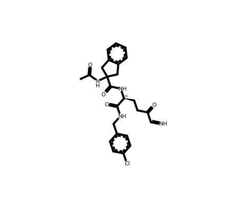 CC(=O)NC1(C(=O)N[C@@H](CCC(=O)C=N)C(=O)NCc2ccc(Cl)cc2)Cc2ccccc2C1